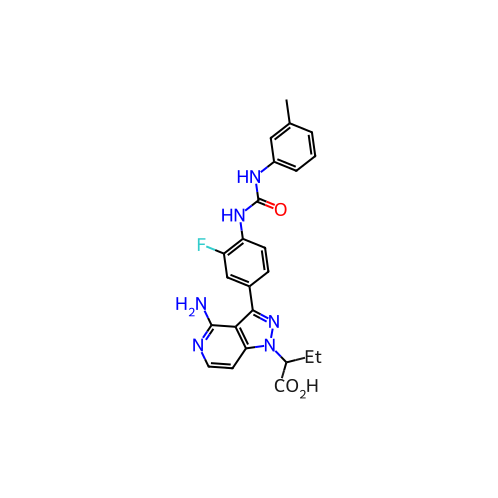 CCC(C(=O)O)n1nc(-c2ccc(NC(=O)Nc3cccc(C)c3)c(F)c2)c2c(N)nccc21